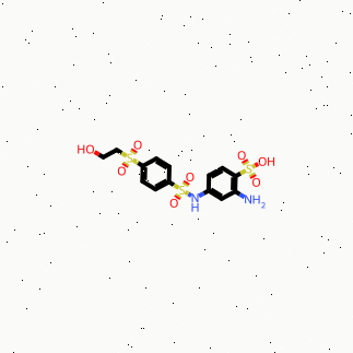 Nc1cc(NS(=O)(=O)c2ccc(S(=O)(=O)CCO)cc2)ccc1S(=O)(=O)O